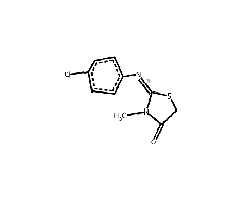 CN1C(=O)CS/C1=N/c1ccc(Cl)cc1